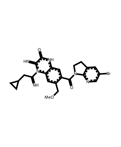 COCc1cc2c(cc1C(=O)N1CCc3cc(Br)cnc31)[nH]c(=O)c(=N)n2C(=N)CC1CC1